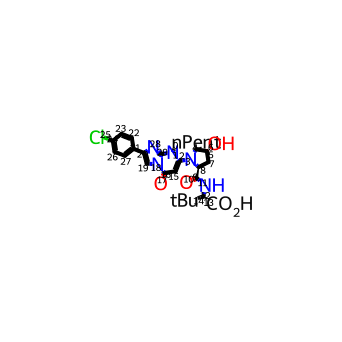 CCCCCn1c(N2C[C@@H](O)C[C@H]2C(=O)N[C@H](C(=O)O)C(C)(C)C)cc(=O)n2cc(-c3ccc(Cl)cc3)nc12